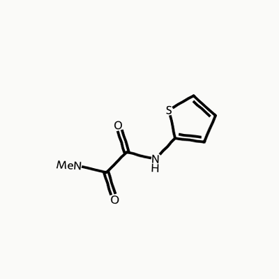 CNC(=O)C(=O)Nc1cccs1